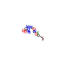 CCn1cncc1Cn1c(CN2CCC(Oc3cccc(COc4ccc(C#CSI)cc4F)n3)CC2)nc2ccc(C(=O)OC)cc21